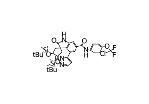 CC(C)(C)[Si](C)(C)OC1CC2(CC1O[Si](C)(C)C(C)(C)C)C(=O)Nc1cc(C(=O)Nc3ccc(OC(F)(F)Cl)cc3)cc(-c3ccn[nH]3)c12